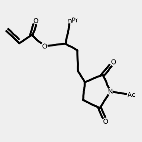 C=CC(=O)OC(CCC)CCC1CC(=O)N(C(C)=O)C1=O